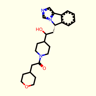 O=C(CC1CCOCC1)N1CCC(C(O)C[C@H]2c3ccccc3-c3cncn32)CC1